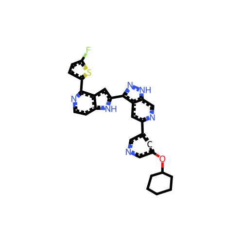 Fc1ccc(-c2nccc3[nH]c(-c4n[nH]c5cnc(-c6cncc(OC7CCCCC7)c6)cc45)cc23)s1